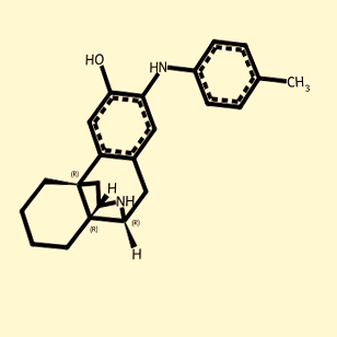 Cc1ccc(Nc2cc3c(cc2O)[C@@]24CCCC[C@H]2[C@@H](C3)NCC4)cc1